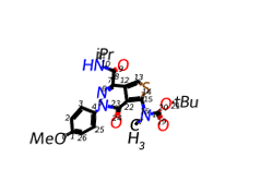 COc1ccc(-n2nc(C(=O)NC(C)C)c3csc(N(C)C(=O)OC(C)(C)C)c3c2=O)cc1